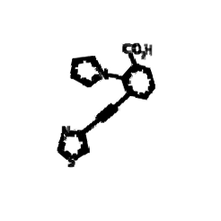 O=C(O)c1cccc(C#Cc2cscn2)c1-n1cccc1